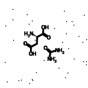 NC(N)=O.N[C@@H](CC(=O)O)C(=O)O